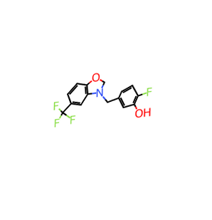 Oc1cc(CN2COc3ccc(C(F)(F)F)cc32)ccc1F